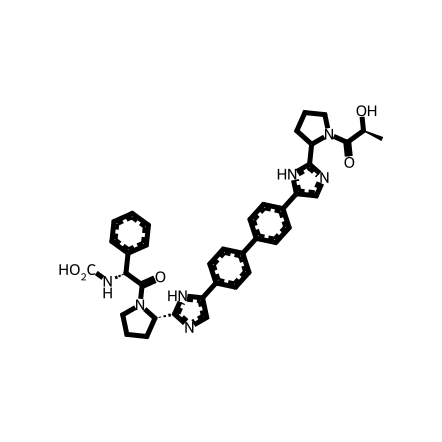 C[C@H](O)C(=O)N1CCCC1c1ncc(-c2ccc(-c3ccc(-c4cnc([C@@H]5CCCN5C(=O)[C@H](NC(=O)O)c5ccccc5)[nH]4)cc3)cc2)[nH]1